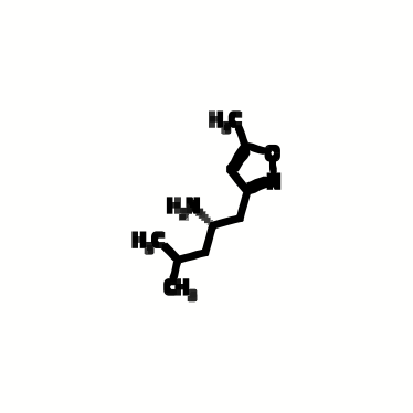 Cc1cc(C[C@@H](N)CC(C)C)no1